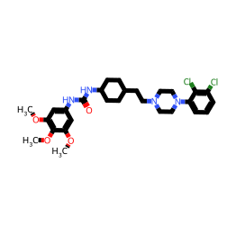 COc1cc(NC(=O)NC2CCC(CCN3CCN(c4cccc(Cl)c4Cl)CC3)CC2)cc(OC)c1OC